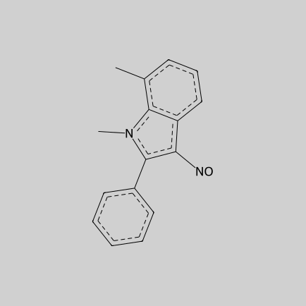 Cc1cccc2c(N=O)c(-c3ccccc3)n(C)c12